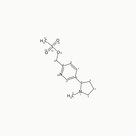 CN1CCCC1c1ccc(COS(C)(=O)=O)nc1